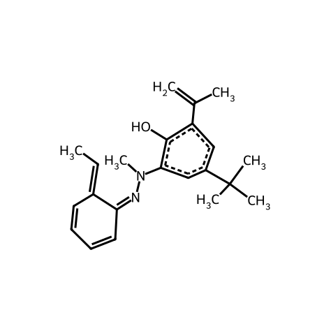 C=C(C)c1cc(C(C)(C)C)cc(N(C)/N=C2/C=CC=CC2=CC)c1O